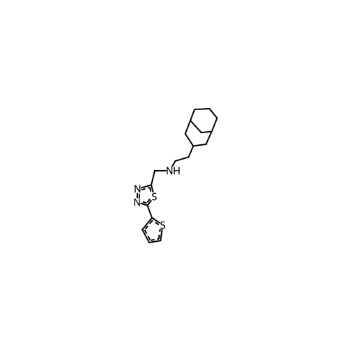 c1csc(-c2nnc(CNCCC3CC4CCCC(C4)C3)s2)c1